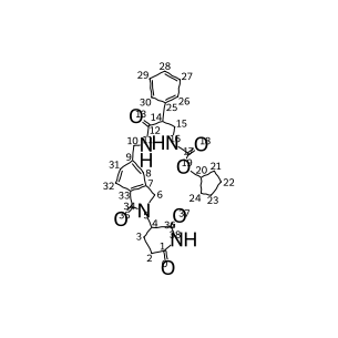 O=C1CCC(N2Cc3cc(CNC(=O)C(CNC(=O)OC4CCCC4)c4ccccc4)ccc3C2=O)C(=O)N1